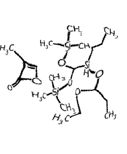 CC1=COC1=O.CCC[SiH](OC(CC)OCC)C(O[Si](C)(C)C)O[Si](C)(C)C